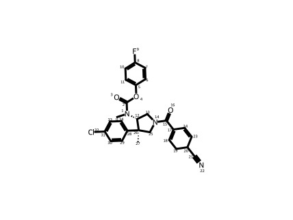 CN(C(=O)Oc1ccc(F)cc1)[C@@H]1CN(C(=O)C2=CCC(C#N)C=C2)C[C@@]1(C)c1ccc(Cl)cc1